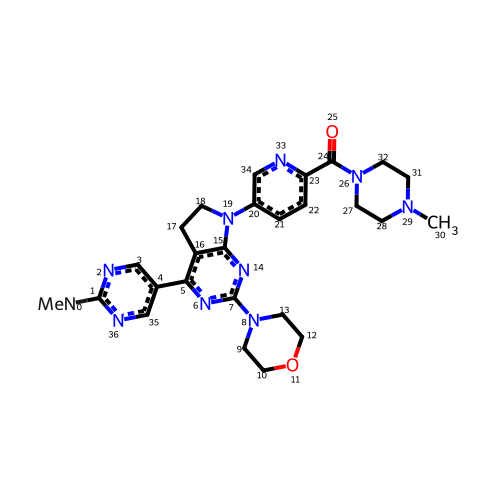 CNc1ncc(-c2nc(N3CCOCC3)nc3c2CCN3c2ccc(C(=O)N3CCN(C)CC3)nc2)cn1